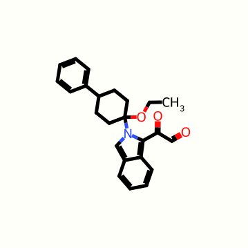 CCOC1(n2cc3ccccc3c2C(=O)C=O)CCC(c2ccccc2)CC1